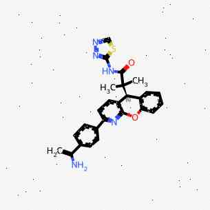 C=C(N)c1ccc(-c2ccc3c(n2)Oc2ccccc2[C@@H]3C(C)(C)C(=O)Nc2nncs2)cc1